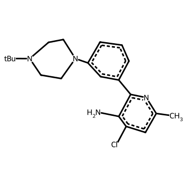 Cc1cc(Cl)c(N)c(-c2cccc(N3CCN(C(C)(C)C)CC3)c2)n1